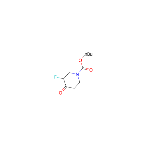 CCCCOC(=O)N1CCC(=O)C(F)C1